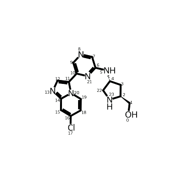 OC[C@@H]1C[C@@H](Nc2cncc(-c3cnc4cc(Cl)ccn34)n2)CN1